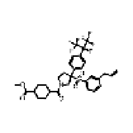 C=CCc1cccc(S(=O)(=O)C2(c3ccc(C(F)(C(F)(F)F)C(F)(F)F)cc3)CCN(C(=O)C3CCC(C(=O)OC)CC3)C2)c1